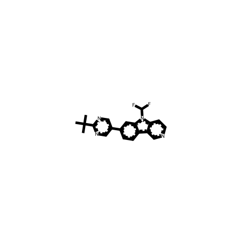 CC(C)(C)c1ncc(-c2ccc3c4cnccc4n(C(F)F)c3c2)cn1